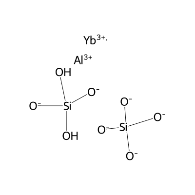 [Al+3].[O-][Si]([O-])(O)O.[O-][Si]([O-])([O-])[O-].[Yb+3]